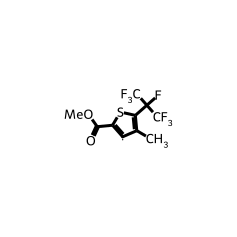 COC(=O)c1[c]c(C)c(C(F)(C(F)(F)F)C(F)(F)F)s1